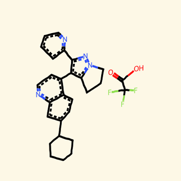 O=C(O)C(F)(F)F.c1ccc(-c2nn3c(c2-c2ccnc4cc(C5CCCCC5)ccc24)CCC3)nc1